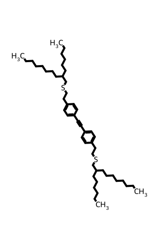 CCCCCCCCC(CCCCCC)CSCCc1ccc(C#Cc2ccc(CCSCC(CCCCCC)CCCCCCCC)cc2)cc1